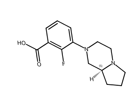 O=C(O)c1cccc(N2CCN3CCC[C@H]3C2)c1F